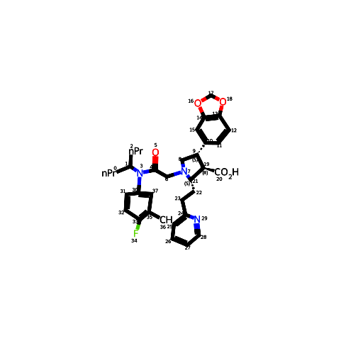 CCCC(CCC)N(C(=O)CN1C[C@H](c2ccc3c(c2)OCO3)[C@@H](C(=O)O)[C@@H]1CCc1ccccn1)c1ccc(F)c(C)c1